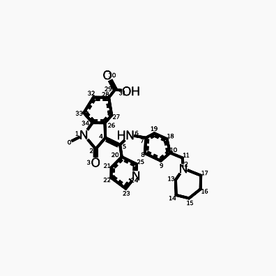 CN1C(=O)C(=C(Nc2ccc(CN3CCCCC3)cc2)c2cccnc2)c2cc(C(=O)O)ccc21